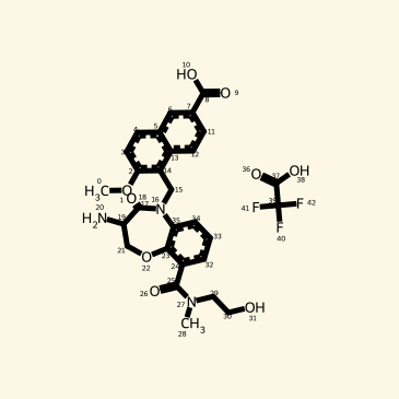 COc1ccc2cc(C(=O)O)ccc2c1CN1C(=O)C(N)COc2c(C(=O)N(C)CCO)cccc21.O=C(O)C(F)(F)F